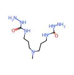 CN(CCCNC(=O)NN)CCCNC(=O)NN